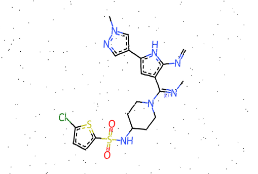 C=Nc1[nH]c(-c2cnn(C)c2)cc1/C(=N\C)N1CCC(NS(=O)(=O)c2ccc(Cl)s2)CC1